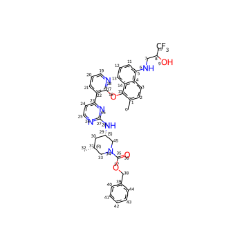 Cc1ccc2c(NCC(O)C(F)(F)F)cccc2c1Oc1ncccc1-c1ccnc(N[C@H]2C[C@@H](C)CN(C(=O)OCc3ccccc3)C2)n1